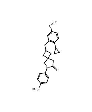 CCOc1ccc(C2CC2)c(CN2CC3(CC(=O)N(c4ccc(C(=O)O)cc4)C3)C2)c1